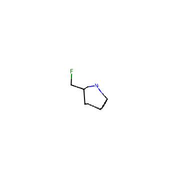 FCC1CCC[N]1